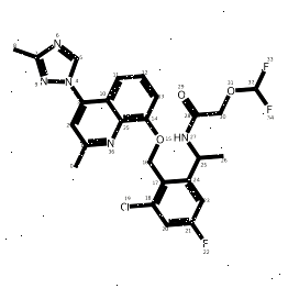 Cc1cc(-n2cnc(C)n2)c2cccc(OCc3c(Cl)cc(F)cc3C(C)NC(=O)COC(F)F)c2n1